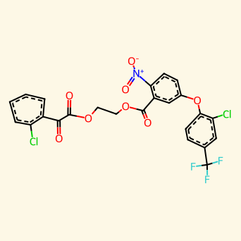 O=C(OCCOC(=O)c1cc(Oc2ccc(C(F)(F)F)cc2Cl)ccc1[N+](=O)[O-])C(=O)c1ccccc1Cl